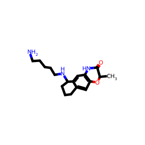 CC1Oc2cc3c(cc2NC1=O)C(NCCCCCN)CCC3